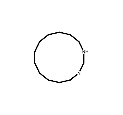 C1CCCCCNCNCCCCC1